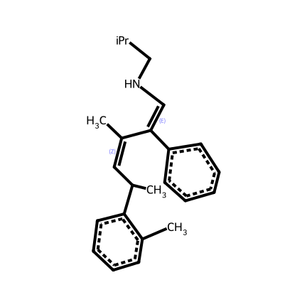 CC(=C/C(C)c1ccccc1C)/C(=C\NCC(C)C)c1ccccc1